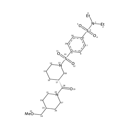 CCN(CC)S(=O)(=O)c1ccc(S(=O)(=O)N2CCC[C@@H](C(=O)N3CCC(COC)CC3)C2)cc1